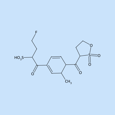 CC1C=C(C(=O)C(CCF)S(=O)(=O)O)C=CC1C(=O)C1CCOS1(=O)=O